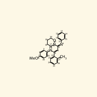 COc1ccc(NC(=CC(=Nc2ccccc2)N2CCCCO2)c2ccccc2C)cc1